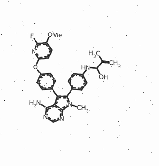 C=C(C)C(O)Nc1ccc(-c2c(-c3ccc(Oc4ccc(OC)c(F)n4)cc3)c3c(N)ncnc3n2C)cc1